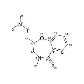 CN(C)CCC1CN(C)C(=S)c2ccccc2O1